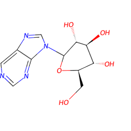 OC[C@H]1OC(n2cnc3cncnc32)[C@H](O)[C@@H](O)[C@@H]1O